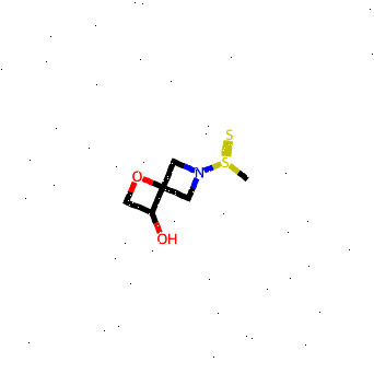 CS(=S)N1CC2(C1)OCC2O